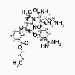 CCCCOC(=O)c1cccc(Oc2nc(Oc3cc(C(=N)N)ccc3OCC)nc3c2nc(C)n3C(CCCCN)C(N)=O)c1